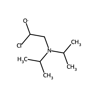 CC(C)N(CC([O])Cl)C(C)C